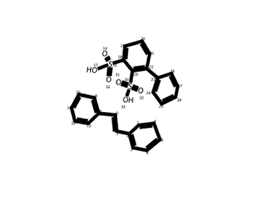 C(=Cc1ccccc1)c1ccccc1.O=S(=O)(O)c1cccc(-c2ccccc2)c1S(=O)(=O)O